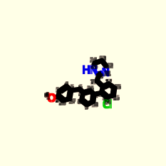 COc1ccc(Cc2cccc(-c3c(Cl)cccc3CC3=NCCCN3)c2)cc1